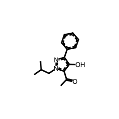 CC(=O)c1c(O)c(-c2ccccc2)nn1CC(C)C